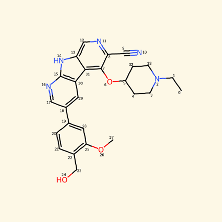 CCN1CCC(Oc2c(C#N)ncc3[nH]c4ncc(-c5ccc(CO)c(OC)c5)cc4c23)CC1